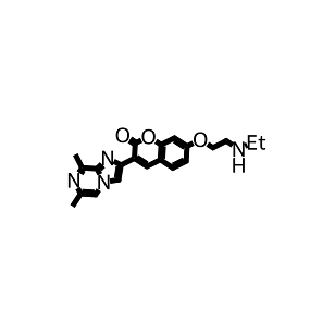 CCNCCOc1ccc2cc(-c3cn4cc(C)nc(C)c4n3)c(=O)oc2c1